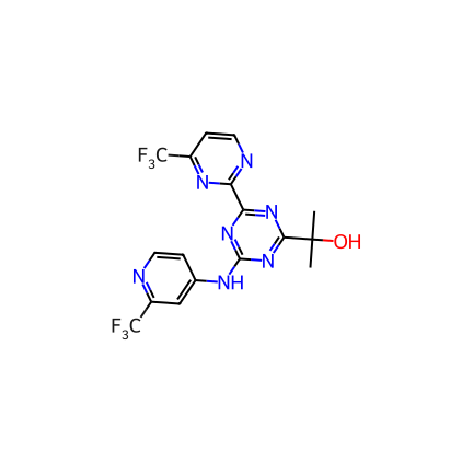 CC(C)(O)c1nc(Nc2ccnc(C(F)(F)F)c2)nc(-c2nccc(C(F)(F)F)n2)n1